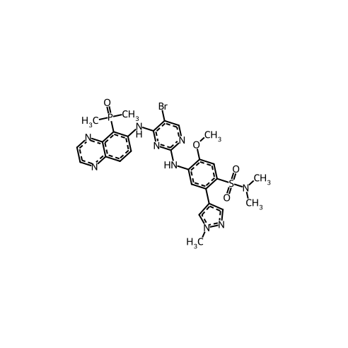 COc1cc(S(=O)(=O)N(C)C)c(-c2cnn(C)c2)cc1Nc1ncc(Br)c(Nc2ccc3nccnc3c2P(C)(C)=O)n1